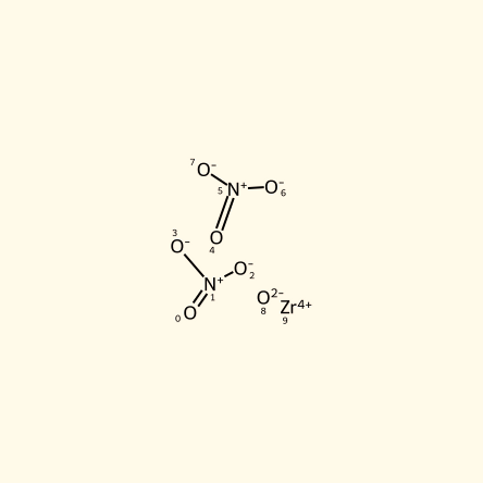 O=[N+]([O-])[O-].O=[N+]([O-])[O-].[O-2].[Zr+4]